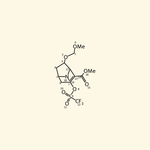 COCOC1CC2CC(OS(=O)(=O)C(F)(F)F)=C(C(=O)OC)C1N2C